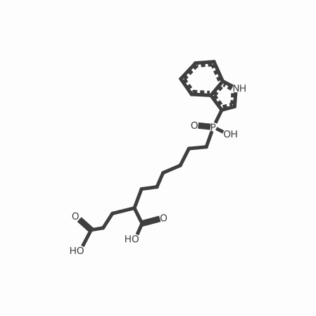 O=C(O)CCC(CCCCCCP(=O)(O)c1c[nH]c2ccccc12)C(=O)O